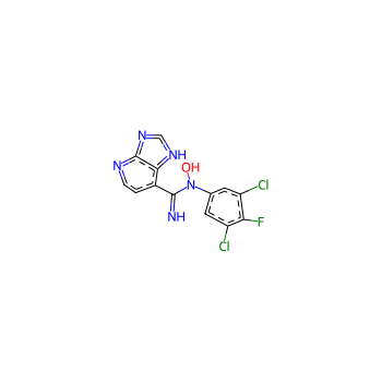 N=C(c1ccnc2nc[nH]c12)N(O)c1cc(Cl)c(F)c(Cl)c1